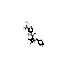 Cc1c(Cl)nn(CC2CCC(F)(F)CC2)c1C(=O)Nc1ccnc(C(N)=O)c1